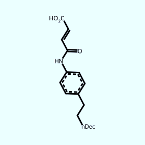 CCCCCCCCCCCCc1ccc(NC(=O)C=CC(=O)O)cc1